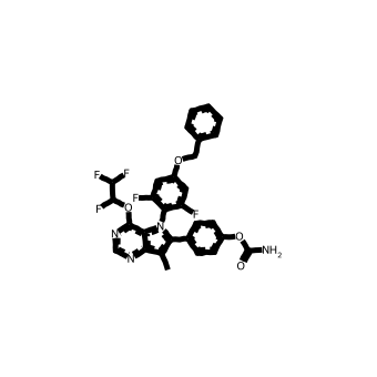 Cc1c(-c2ccc(OC(N)=O)cc2)n(-c2c(F)cc(OCc3ccccc3)cc2F)c2c(OC(F)C(F)F)ncnc12